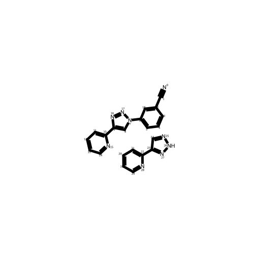 N#Cc1cccc(-n2cc(-c3ccccn3)nn2)c1.c1ccc(-c2cn[nH]n2)nc1